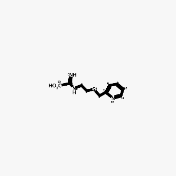 N=C(NCCSCc1ccccn1)C(=O)O